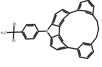 CCC(C)(CC)c1ccc(-n2c3ccc4cc3c3cc(ccc32)-c2cccc(c2)CCCc2cccc-4c2)cc1